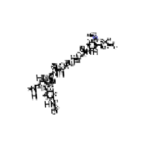 C=C(SC(C)CCC)c1cc(NC(=O)COCCOCCOCC(=O)NCC(=O)NC(CCCNC)C(=O)Nc2ccc(CNC=O)cc2)ccc1/N=C\C